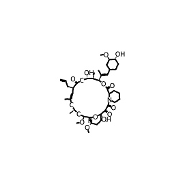 C=CC[C@@H]1/C=C(\C)C[C@H](C)C[C@H](OC)[C@H]2O[C@@](O)(C(=O)C(=O)N3CCCCC3C(=O)O[C@H](/C(C)=C/C3CC[C@@H](O)[C@H](OC)C3)[C@H](C)[C@@H](O)CC1=O)[C@H](C)C[C@@H]2OC